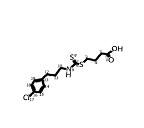 O=C(O)CCCSC(=S)NCCCc1ccc(Cl)cc1